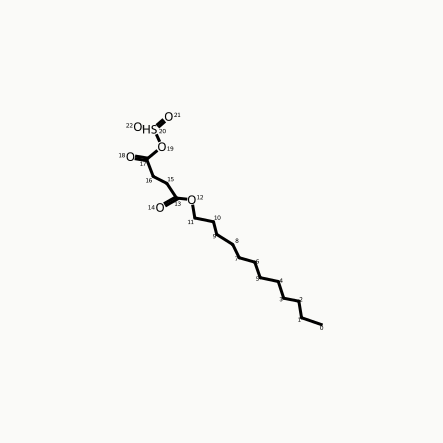 CCCCCCCCCCCCOC(=O)CCC(=O)O[SH](=O)=O